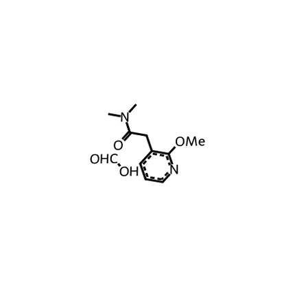 COc1ncccc1CC(=O)N(C)C.O=CO